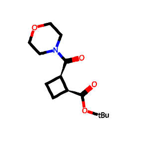 CC(C)(C)OC(=O)[C@H]1CC[C@H]1C(=O)N1CCOCC1